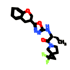 CC[C@@H](Nc1nnc(C2COc3ccccc3C2)o1)C(=O)N1CCC2(C1)CC2(F)F